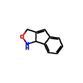 C1=C2CONC2c2ccccc21